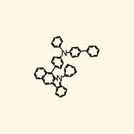 c1ccc(-c2ccc(N(c3ccccc3)c3ccc(-c4c5ccccc5cc5c6ccccc6n(-c6ccccc6)c45)cc3)cc2)cc1